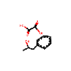 CC(O)Cc1ccccc1.O=C(O)C(=O)O